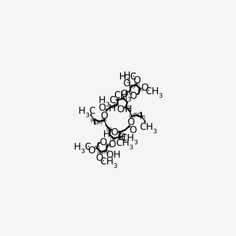 CC[C@@H]1C[C@H]1[C@@H]1C[C@@H]2C[C@H](O[C@@H]3OC[C@@H](OC)[C@H](OC)[C@H]3O)C(C)(C)[C@H](CC(=O)O[C@H]([C@@H]3C[C@H]3CC)C[C@@H]3C[C@H](O[C@@H]4OC[C@@H](OC)[C@H](OC)[C@H]4O)C(C)(C)[C@H](CC(=O)O1)O3)O2